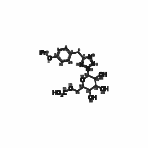 CC(C)Oc1ccc(Cc2nnn(C3OC(COC(=O)O)C(O)C(O)C3O)n2)cc1